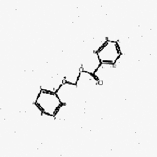 O=C(O[C]Oc1ccccc1)c1ccccc1